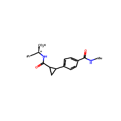 CCCCNC(=O)c1ccc(C2CC2C(=O)N[C@H](C(=O)O)C(C)C)cc1